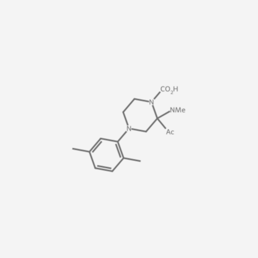 CNC1(C(C)=O)CN(c2cc(C)ccc2C)CCN1C(=O)O